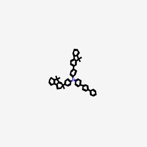 CC1(C)C2=CC(C)(c3ccc(N(c4ccc(-c5ccc(-c6ccccc6)cc5)cc4)c4ccc(-c5ccc6c(c5)C(C)(C)c5ccccc5-6)cc4)cc3)CC=C2C2=C1CCC=C2